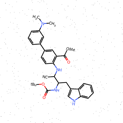 COC(=O)c1cc(-c2cccc(N(C)C)c2)ccc1NC(C#N)C(Cc1c[nH]c2ccccc12)NC(=O)OC(C)(C)C